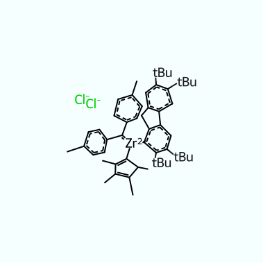 CC1=C(C)C(C)[C]([Zr+2](=[C](c2ccc(C)cc2)c2ccc(C)cc2)[c]2c3c(cc(C(C)(C)C)c2C(C)(C)C)-c2cc(C(C)(C)C)c(C(C)(C)C)cc2C3)=C1C.[Cl-].[Cl-]